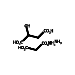 N.N.O=C(O)CC(=O)O.O=C(O)CC(O)C(=O)O